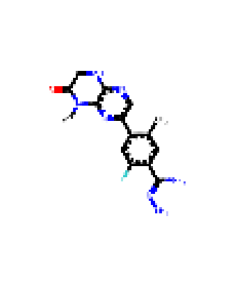 Cc1cc(/C(N)=N/N)c(F)cc1-c1cnc2c(n1)N(C(C)C)C(=O)CN2